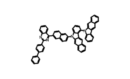 c1ccc(-c2ccc(-c3nc(-c4ccc5cc(-n6c7cc8ccccc8cc7c7c(-n8c9ccccc9c9cc%10ccccc%10cc98)cccc76)ccc5c4)c4ccccc4n3)cc2)cc1